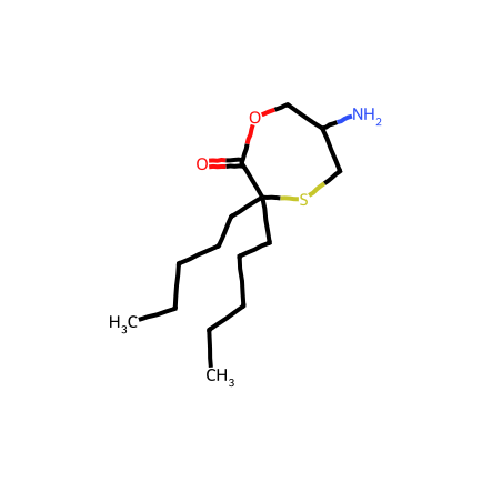 CCCCCC1(CCCCC)SCC(N)COC1=O